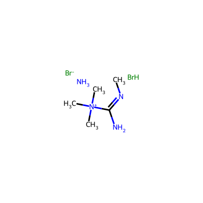 Br.CN=C(N)[N+](C)(C)C.N.[Br-]